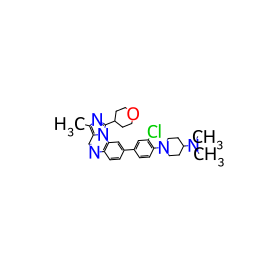 Cc1nc(C2CCOCC2)n2c1cnc1ccc(-c3ccc(N4CCC(N(C)C)CC4)c(Cl)c3)cc12